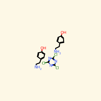 Clc1nc(Cl)nc(Cl)n1.NCCc1ccc(O)cc1.NCCc1ccc(O)cc1